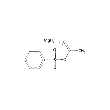 C=C(C)OS(=O)(=O)c1ccccc1.[MgH2]